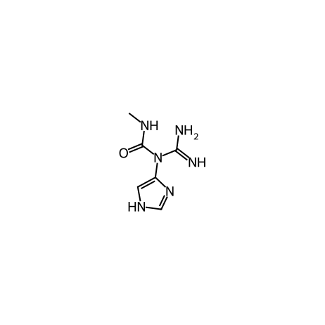 CNC(=O)N(C(=N)N)c1c[nH]cn1